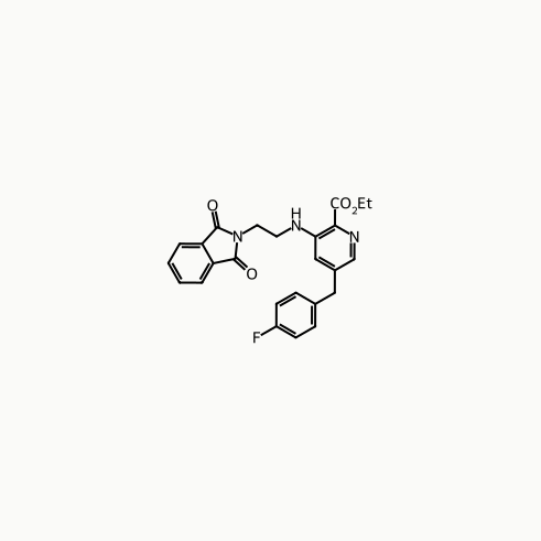 CCOC(=O)c1ncc(Cc2ccc(F)cc2)cc1NCCN1C(=O)c2ccccc2C1=O